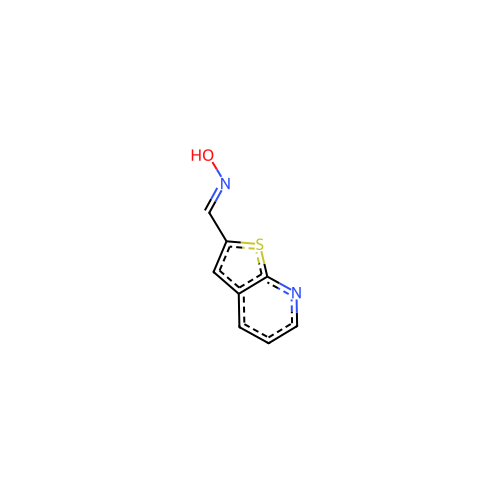 O/N=C/c1cc2cccnc2s1